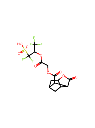 O=C(COC(=O)C1C2CC3OC(=O)C1C3C2)OC(C(F)(F)F)C(F)(F)S(=O)(=O)O